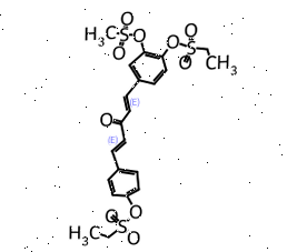 CCS(=O)(=O)Oc1ccc(/C=C/C(=O)/C=C/c2ccc(OS(=O)(=O)CC)c(OS(C)(=O)=O)c2)cc1